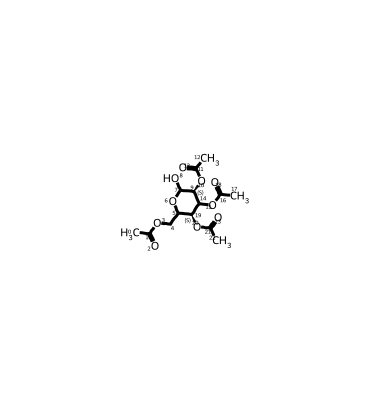 CC(=O)OCC1OC(O)[C@@H](OC(C)=O)C(OC(C)=O)[C@H]1OC(C)=O